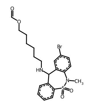 CN1c2ccc(Br)cc2C(NCCCCCCOC=O)c2ccccc2S1(=O)=O